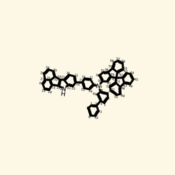 c1ccc(-c2cccc(N(c3ccc(-c4ccc5c6c([nH]c5c4)-c4cccc5cccc-6c45)cc3)c3ccc4c(c3)C3(c5ccccc5-c5ccccc53)c3ccccc3-4)c2)cc1